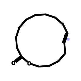 O=C1CCCCCCCC/C=C/CCCCO1